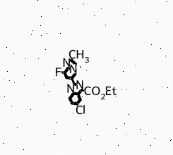 CCOC(=O)c1nc(-c2cc(F)c3nc(C)cn3c2)nc2ccc(Cl)cc12